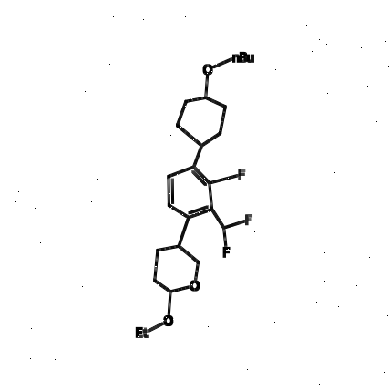 CCCCOC1CCC(c2ccc(C3CCC(OCC)OC3)c(C(F)F)c2F)CC1